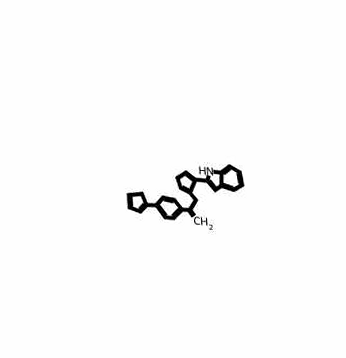 C=C(CC1=CCC=C1c1cc2ccccc2[nH]1)c1ccc(C2=CC=CC2)cc1